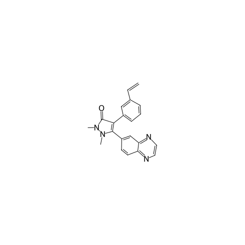 C=Cc1cccc(-c2c(-c3ccc4nccnc4c3)n(C)n(C)c2=O)c1